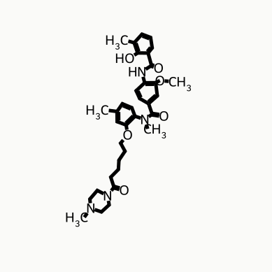 COc1cc(C(=O)N(C)c2ccc(C)cc2OCCCCCC(=O)N2CCN(C)CC2)ccc1NC(=O)c1cccc(C)c1O